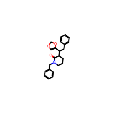 O=C1C(C(Cc2ccccc2)C2=COCO2)CCCN1Cc1ccccc1